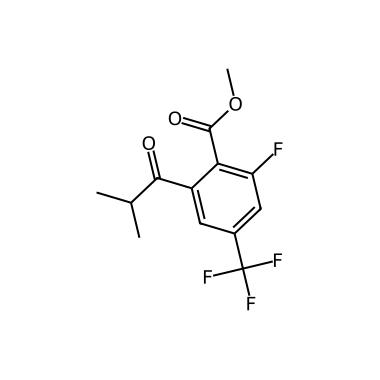 COC(=O)c1c(F)cc(C(F)(F)F)cc1C(=O)C(C)C